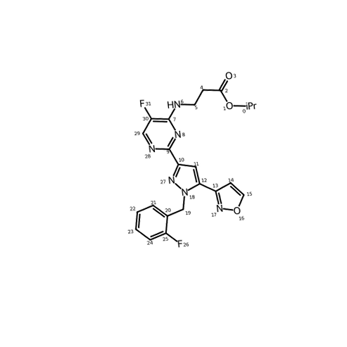 CC(C)OC(=O)CCNc1nc(-c2cc(-c3ccon3)n(Cc3ccccc3F)n2)ncc1F